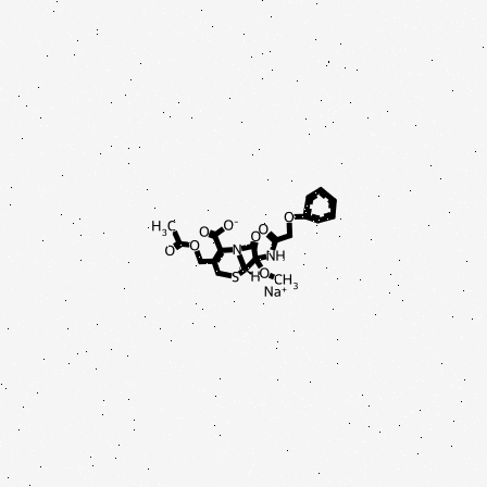 COC1(NC(=O)COc2ccccc2)C(=O)N2C(C(=O)[O-])=C(COC(C)=O)CS[C@@H]21.[Na+]